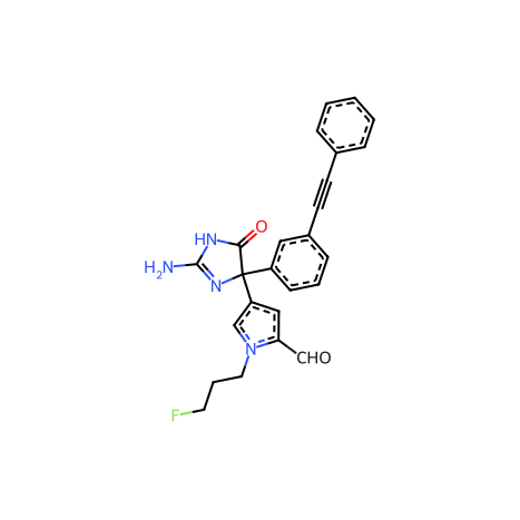 NC1=NC(c2cccc(C#Cc3ccccc3)c2)(c2cc(C=O)n(CCCF)c2)C(=O)N1